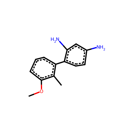 COc1cccc(-c2ccc(N)cc2N)c1C